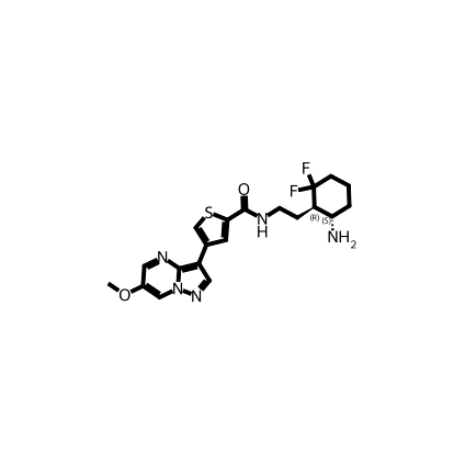 COc1cnc2c(-c3csc(C(=O)NCC[C@@H]4[C@@H](N)CCCC4(F)F)c3)cnn2c1